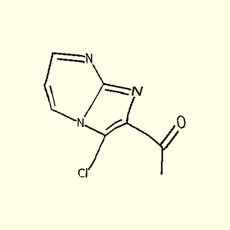 CC(=O)c1nc2ncccn2c1Cl